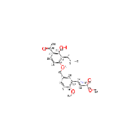 CCCc1c(OCc2ccc(OC)c(/C=C/C(=O)OC)c2)ccc(C(C)=O)c1O